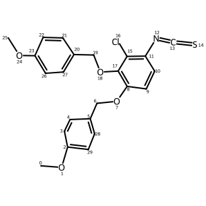 COc1ccc(COc2ccc(N=C=S)c(Cl)c2OCc2ccc(OC)cc2)cc1